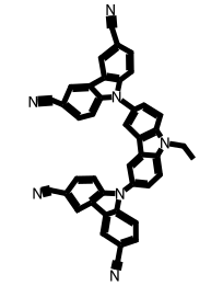 CCn1c2ccc(-n3c4ccc(C#N)cc4c4cc(C#N)ccc43)cc2c2cc(-n3c4ccc(C#N)cc4c4cc(C#N)ccc43)ccc21